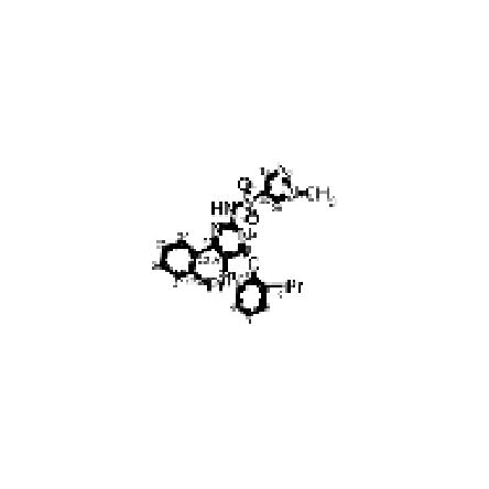 CC(C)c1ccccc1Oc1nc(NS(=O)(=O)c2cnn(C)c2)nc(-c2ccccc2C(C)C)c1C(C)C